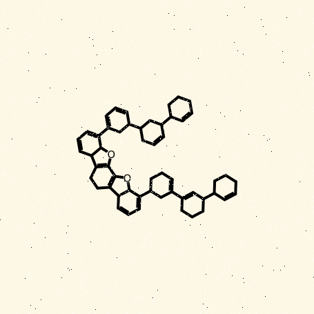 C1=CC(C2CC=CC(C3C=CCCC3)C2)CC(C2=CC=CC3C4=C(OC23)C2=C(CC4)C3C=CC=C(C4CCC=C(C5=CC(C6C=CCCC6)CCC5)C4)C3O2)=C1